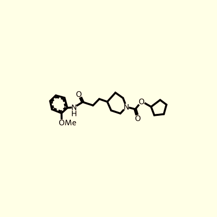 COc1ccccc1NC(=O)CCC1CCN(C(=O)OC2CCCC2)CC1